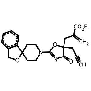 C#CC[C@]1(CC(=C)C(=O)OCC)OC(N2CCC3(CC2)OCc2ccccc23)=NC1=O